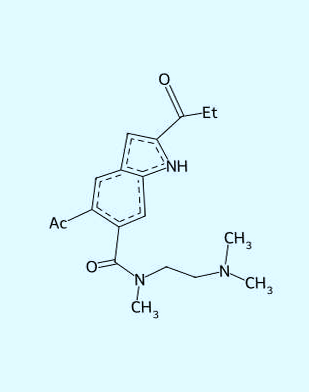 CCC(=O)c1cc2cc(C(C)=O)c(C(=O)N(C)CCN(C)C)cc2[nH]1